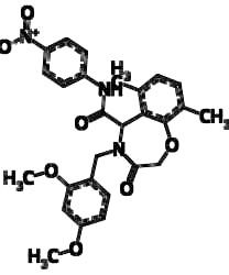 COc1ccc(CN2C(=O)COc3c(C)ccc(C)c3C2C(=O)Nc2ccc([N+](=O)[O-])cc2)c(OC)c1